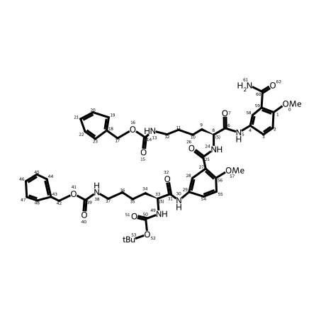 COc1ccc(NC(=O)[C@H](CCCCNC(=O)OCc2ccccc2)NC(=O)c2cc(NC(=O)[C@H](CCCCNC(=O)OCc3ccccc3)NC(=O)OC(C)(C)C)ccc2OC)cc1C(N)=O